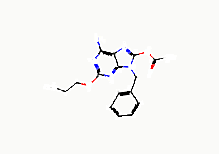 COCCOc1nc(N)c2nc(OC(=O)OCC(C)C)n(Cc3ccccc3)c2n1